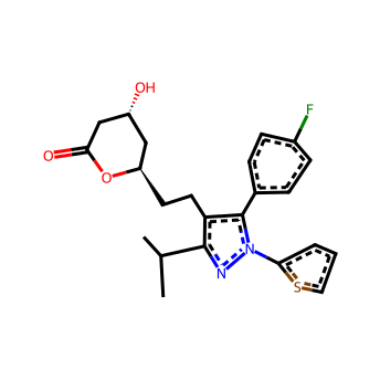 CC(C)c1nn(-c2cccs2)c(-c2ccc(F)cc2)c1CC[C@@H]1C[C@@H](O)CC(=O)O1